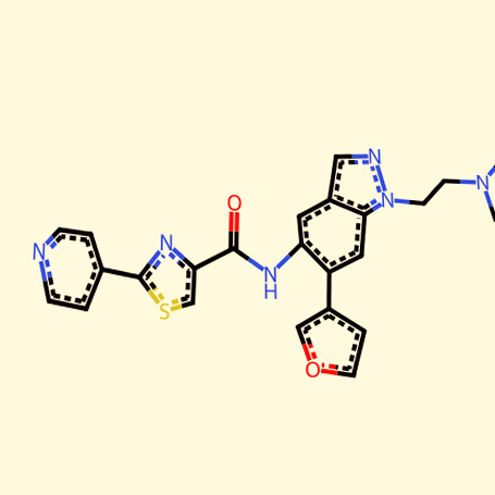 CN(C)CCn1ncc2cc(NC(=O)c3csc(-c4ccncc4)n3)c(-c3ccoc3)cc21